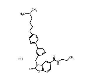 CCCNC(=O)c1ccc2oc(=O)n(Cc3cccc(-c4ncc(OCCCN(C)C)cn4)c3)c2c1.Cl